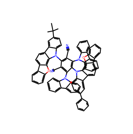 CC(C)(C)c1ccc2c(c1)c1ccc3c4ccccc4oc3c1n2-c1c(C#N)c(-n2c3ccccc3c3ccccc32)c(-n2c3ccc(-c4ccccc4)cc3c3ccc4c5ccccc5oc4c32)c(-n2c3ccccc3c3ccccc32)c1C#N